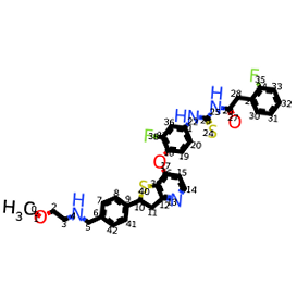 COCCNCc1ccc(C2Cc3nccc(Oc4ccc(NC(=S)NC(=O)Cc5ccccc5F)cc4F)c3S2)cc1